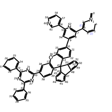 C=N/C=C(\C=C/C)c1cc(-c2ccc3c(c2)Oc2cc(-c4nc(-c5ccccc5)nc(-c5ccccc5)n4)ccc2C32c3ccccc3-c3ccccc32)cc(-c2cccnc2)n1